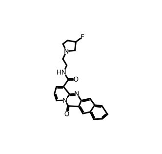 O=C(NCCN1CCC(F)C1)c1cccn2c(=O)c3cc4ccccc4cc3nc12